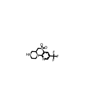 O=S1(=O)CC2CNCCN2c2ncc(C(F)(F)F)cc21